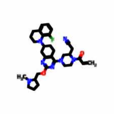 C=CC(=O)N1CCN(c2nc(OCC3CCCN3C)nc3c2CCC(N2CCCc4cccc(F)c42)C3)CC1CC#N